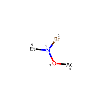 CCN(Br)OC(C)=O